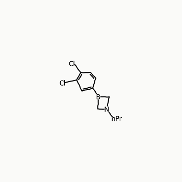 CCCN1CB(c2ccc(Cl)c(Cl)c2)C1